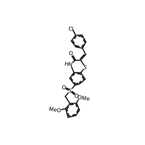 COc1cccc(OC)c1CS(=O)(=O)c1ccc2c(c1)NC(=O)/C(=C\c1ccc(Cl)cc1)S2